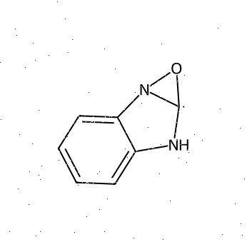 c1ccc2c(c1)N[C]1ON12